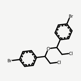 ClCC(OC(CCl)c1ccc(Br)cc1)c1ccc(Br)cc1